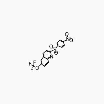 O=[N+]([O-])c1ccc(S(=O)(=O)c2ccc3cc(OC(F)(F)F)ccc3n2)cc1